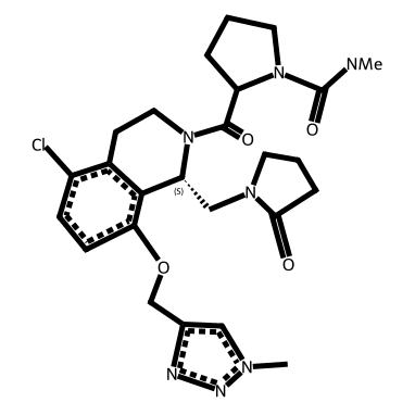 CNC(=O)N1CCCC1C(=O)N1CCc2c(Cl)ccc(OCc3cn(C)nn3)c2[C@H]1CN1CCCC1=O